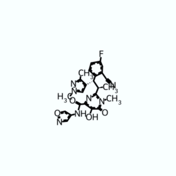 Cc1nn(C)cc1[C@H](c1ccc(F)cc1C#N)[C@@H](C)c1nc(C(=O)Nc2cnoc2)c(O)c(=O)n1C